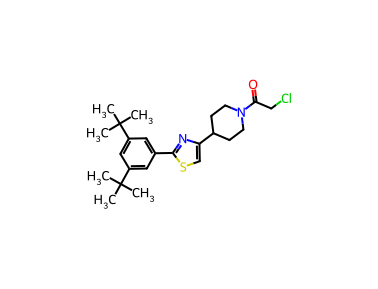 CC(C)(C)c1cc(-c2nc(C3CCN(C(=O)CCl)CC3)cs2)cc(C(C)(C)C)c1